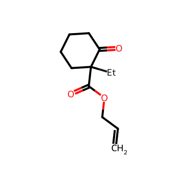 C=CCOC(=O)C1(CC)CCCCC1=O